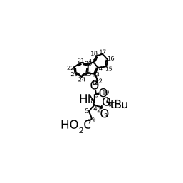 CC(C)(C)OC(=O)C(CCC(=O)O)NC(=O)OCC1=C2C=CCC=C2c2ccccc21